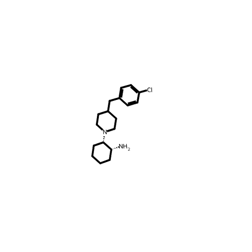 N[C@@H]1CCCC[C@@H]1N1CCC(Cc2ccc(Cl)cc2)CC1